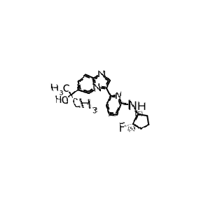 CC(C)(O)c1ccc2ncc(-c3cccc(N[C@H]4CCC[C@@H]4F)n3)n2c1